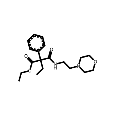 CCOC(=O)C(CC)(C(=O)NCCN1CCOCC1)c1ccccc1